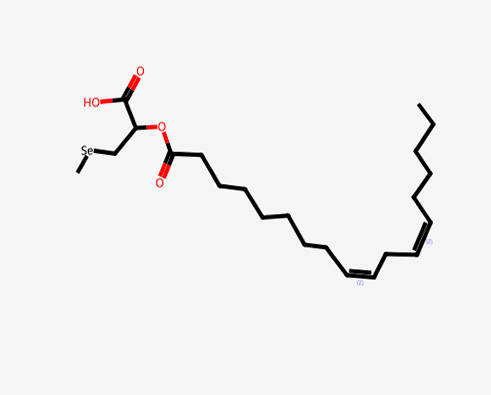 CCCCC/C=C\C/C=C\CCCCCCCC(=O)OC(C[Se]C)C(=O)O